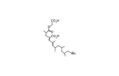 CCC(C)CC(C)CC(C)CC(C)/C=C(C)/C=C(/CC(C)C(=O)OCC(=O)O)C(=O)O